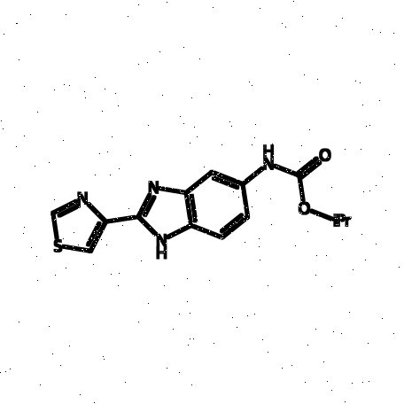 CC(C)OC(=O)Nc1ccc2[nH]c(-c3cscn3)nc2c1